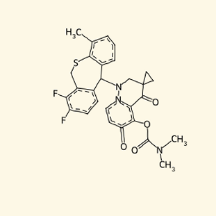 Cc1cccc2c1SCc1c(ccc(F)c1F)C2N1CC2(CC2)C(=O)c2c(OC(=O)N(C)C)c(=O)ccn21